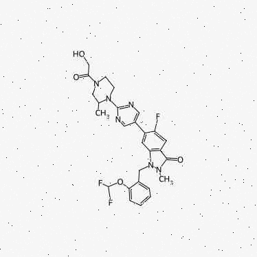 CC1CN(C(=O)CO)CCN1c1ncc(-c2cc3c(cc2F)c(=O)n(C)n3Cc2ccccc2OC(F)F)cn1